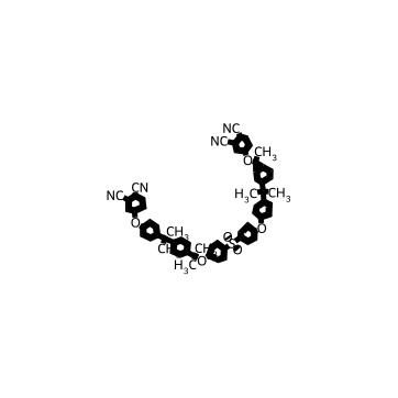 CC(C)(Oc1ccc(S(=O)(=O)c2ccc(Oc3ccc(C(C)(C)c4ccc5c(c4)C5(C)Oc4ccc(C#N)c(C#N)c4)cc3)cc2)cc1)c1ccc(C(C)(C)c2ccc(Oc3ccc(C#N)c(C#N)c3)cc2)cc1